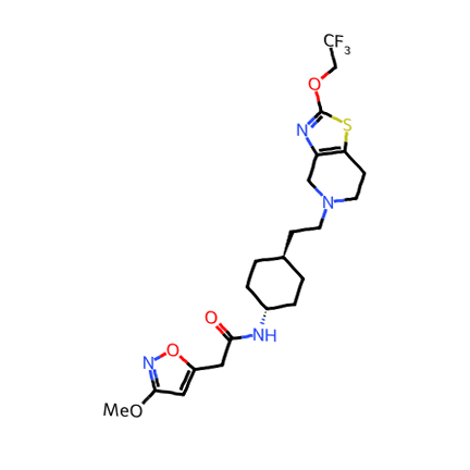 COc1cc(CC(=O)N[C@H]2CC[C@H](CCN3CCc4sc(OCC(F)(F)F)nc4C3)CC2)on1